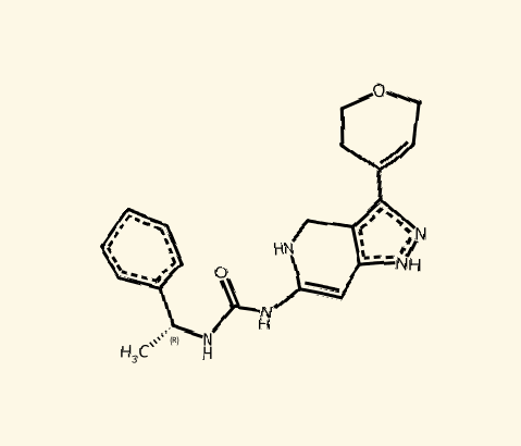 C[C@@H](NC(=O)NC1=Cc2[nH]nc(C3=CCOCC3)c2CN1)c1ccccc1